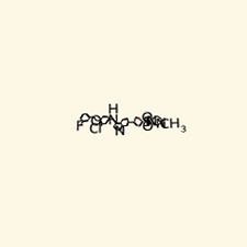 CN1CCCN(S(=O)(=O)c2ccc(-c3ccc4c(Nc5ccc(OCc6cccc(F)c6)c(Cl)c5)ccnc4c3)cc2)CC1